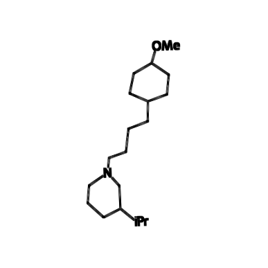 COC1CCC(CCCCN2CCCC(C(C)C)C2)CC1